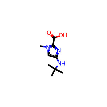 Cn1cc(NC(C)(C)C)nc1C(=O)O